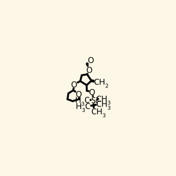 C=C1C(OC=O)CC(OC2CCCCO2)C1CO[Si](C)(C)C(C)(C)C